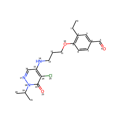 CCc1cc(C=O)ccc1OCCCNc1cnn(C(C)C)c(=O)c1Cl